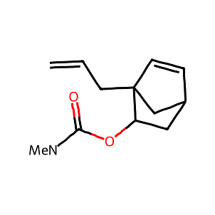 C=CCC12C=CC(CC1OC(=O)NC)C2